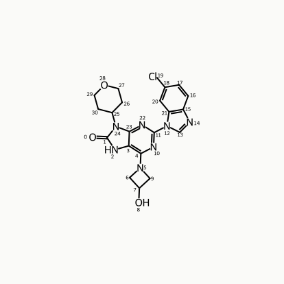 O=c1[nH]c2c(N3CC(O)C3)nc(-n3cnc4ccc(Cl)cc43)nc2n1C1CCOCC1